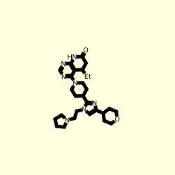 CCC1CC(=O)Nc2ncnc(N3CCC(c4nc(C5CCOCC5)cn4CCN4CCCC4)CC3)c21